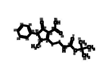 Cn1c(CCNC(=O)OC(C)(C)C)c(C(=O)O)c(=O)n1-c1ccccc1